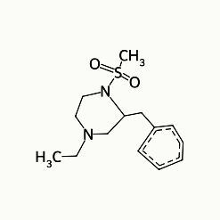 CCN1CCN(S(C)(=O)=O)C(Cc2ccccc2)C1